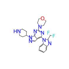 FC(F)c1nc2ccccc2n1-c1nc(N2CCOCC2)nc2c1cnn2C1CCNCC1